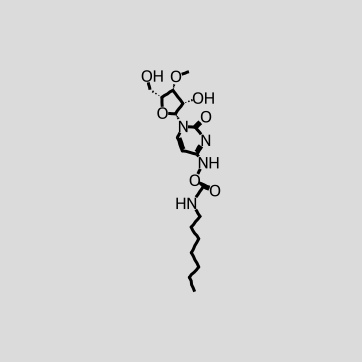 CCCCCCCNC(=O)ONc1ccn([C@@H]2O[C@H](CO)[C@H](OC)[C@@H]2O)c(=O)n1